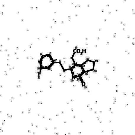 O=C(O)Cn1c(CCc2cccc(F)c2)nc(=O)c2c1CCC2